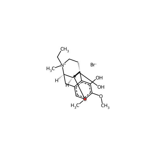 CC[N+]1(C)CC[C@]23CC(O)C(OC)=C[C@H]2[C@H]1Cc1ccc(OC)c(O)c13.[Br-]